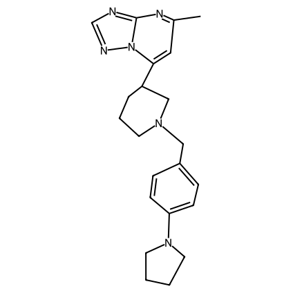 Cc1cc(C2CCCN(Cc3ccc(N4CCCC4)cc3)C2)n2ncnc2n1